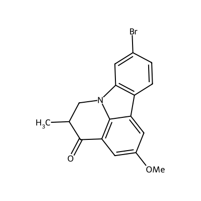 COc1cc2c3c(c1)c1ccc(Br)cc1n3CC(C)C2=O